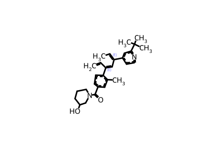 C=C/C(=C\C(=C/C)c1ccnc(C(C)(C)C)c1)c1ccc(C(=O)N2CCCC(O)C2)cc1C